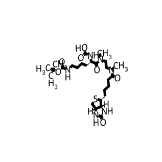 CN(CCN(C)C(=O)[C@H](CCCCNC(=O)OC(C)(C)C)NC(=O)O)C(=O)CCCC[C@H]1SC[C@H]2NC(=O)N[C@H]21